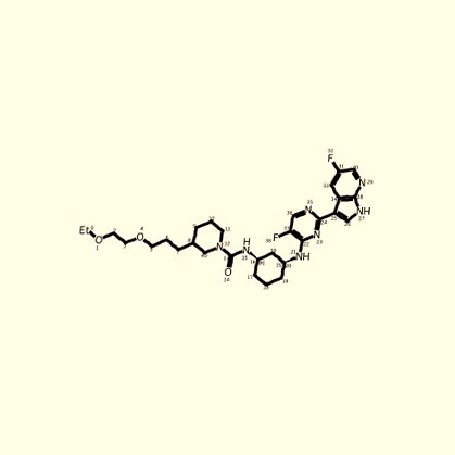 CCOCCOCCCC1CCCN(C(=O)N[C@@H]2CCC[C@H](Nc3nc(-c4c[nH]c5ncc(F)cc45)ncc3F)C2)C1